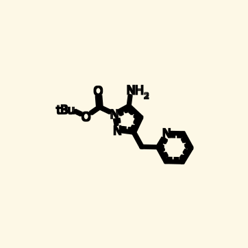 CC(C)(C)OC(=O)n1nc(Cc2ccccn2)cc1N